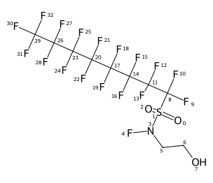 O=S(=O)(N(F)CCO)C(F)(F)C(F)(F)C(F)(F)C(F)(F)C(F)(F)C(F)(F)C(F)(F)C(F)(F)F